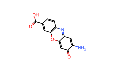 Nc1cc2nc3ccc(C(=O)O)cc3oc-2cc1=O